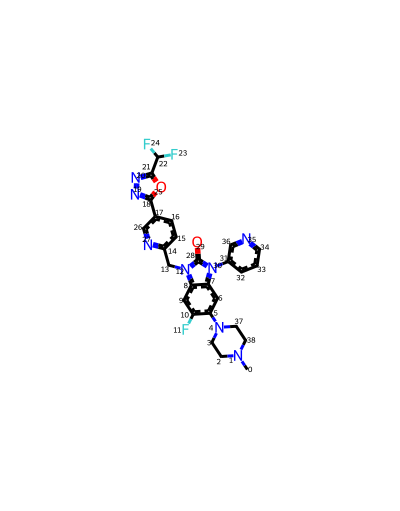 CN1CCN(c2cc3c(cc2F)n(Cc2ccc(-c4nnc(C(F)F)o4)cn2)c(=O)n3-c2cccnc2)CC1